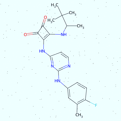 Cc1cc(Nc2nccc(Nc3c(NC(C)C(C)(C)C)c(=O)c3=O)n2)ccc1F